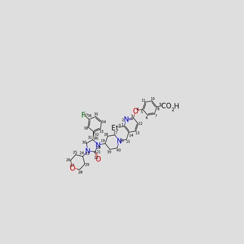 CCc1nc(Oc2ccc(C(=O)O)cc2)ccc1CN1CCC(N2C(=O)N(C3CCOCC3)C[C@H]2c2cccc(F)c2)CC1